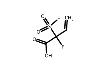 C=CC(F)(C(=O)O)S(=O)(=O)F